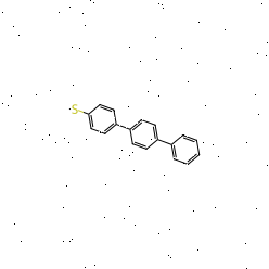 [S]c1ccc(-c2ccc(-c3ccccc3)cc2)cc1